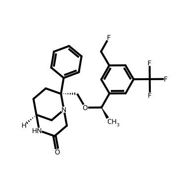 C[C@@H](OC[C@@]1(c2ccccc2)CC[C@H]2CN1CC(=O)N2)c1cc(CF)cc(C(F)(F)F)c1